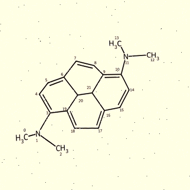 CN(C)C1=CC=C2C=CC3=C(N(C)C)C=CC4=CC=C1C2C43